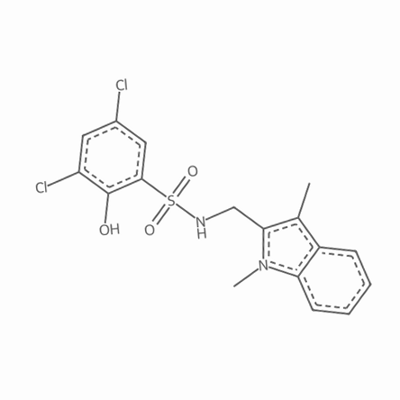 Cc1c(CNS(=O)(=O)c2cc(Cl)cc(Cl)c2O)n(C)c2ccccc12